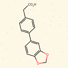 O=C(O)Cc1ccc(-c2ccc3c(c2)OCO3)cc1